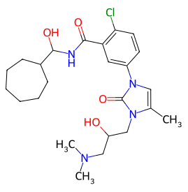 Cc1cn(-c2ccc(Cl)c(C(=O)NC(O)C3CCCCCC3)c2)c(=O)n1CC(O)CN(C)C